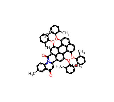 Cc1ccc2c(c1)c(=O)cc1c3cc(Oc4c(C)cccc4C)c4c5c(Oc6c(C)cccc6C)ccc6ccc(Oc7c(C)cccc7C)c(c7c(Oc8c(C)cccc8C)cc(c(=O)n21)c3c74)c65